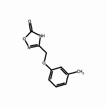 Cc1cccc(OCc2noc(=O)[nH]2)c1